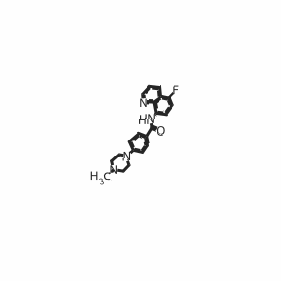 CN1CCN(c2ccc(C(=O)Nc3ccc(F)c4cccnc34)cc2)CC1